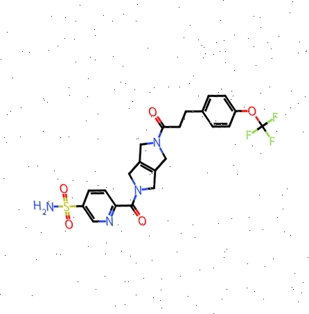 NS(=O)(=O)c1ccc(C(=O)N2CC3=C(CN(C(=O)CCc4ccc(OC(F)(F)F)cc4)C3)C2)nc1